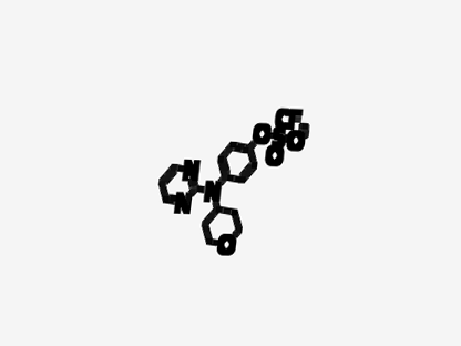 O=S(=O)(Oc1ccc(N(c2ncccn2)C2CCOCC2)cc1)C(F)(F)F